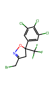 FC(F)(F)C1(c2cc(Cl)c(Cl)c(Cl)c2)CC(CBr)=NO1